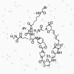 CC/C(=C\C(=O)N[C@@H]1C[C@H](C)[C@H](C/C=C(C)/C=C/C2C[C@]3(CO3)C[C@@H](CC(N)=O)O2)O[C@@H]1C)NC(=O)/C=C\[C@H](C)OC(=O)N1CCN(C(=O)OCc2ccc(NC(=O)[C@H](CCCNC(N)=O)NC(=O)[C@@H](NC(=O)CCCCCNC(=O)CBr)C(C)C)cc2)CC1